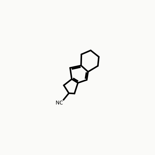 N#CC1Cc2cc3c(cc2C1)CCCC3